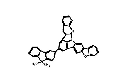 CC1(C)c2ccccc2-c2cc(-c3cc4c5cc6oc7ccccc7c6cc5n5c6nc7ccccc7nc6c(c3)c45)ccc21